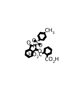 Cc1ccc(S(=O)(=O)N2C(=O)c3ccccc3C2=O)cc1.O=C(O)c1ccccc1C(=O)O